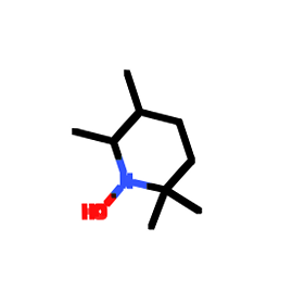 CC1CCC(C)(C)N(O)C1C